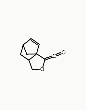 O=C=C1OCC2CC3C=CC12C3